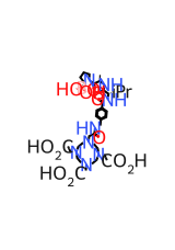 CC(C)[C@H](NC(=O)c1ccc(CNC(=O)CN2CCN(CC(=O)O)CCN(CC(=O)O)CCN(CC(=O)O)CC2)cc1)C(=O)N[C@H](C)C(=O)N1CCC[C@H]1B(O)O